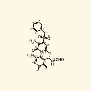 C=C1C(CNC=O)=C(n2c(C)cc(S(=O)(=O)Cc3ccccc3)c(N)c2=O)C(N)=NC1C